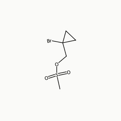 CS(=O)(=O)OCC1(Br)CC1